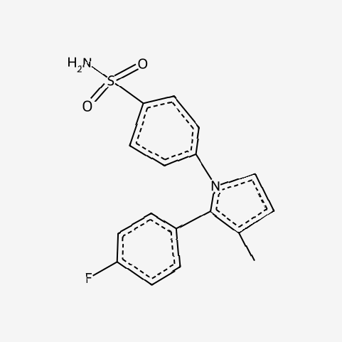 Cc1ccn(-c2ccc(S(N)(=O)=O)cc2)c1-c1ccc(F)cc1